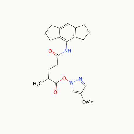 COc1cnn(OC(=O)C(C)CCC(=O)Nc2c3c(cc4c2CCC4)CCC3)c1